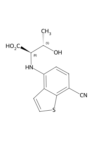 C[C@H](O)[C@@H](Nc1ccc(C#N)c2sccc12)C(=O)O